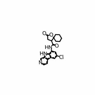 O=C1CC(C(=O)Nc2cc(Cl)cc3c2[nH]c2cnccc23)C2(CCCCC2)O1